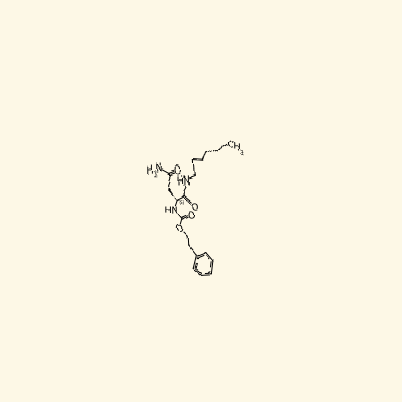 CCCCCCCNC(=O)[C@H](CC(N)=O)NC(=O)OCCc1ccccc1